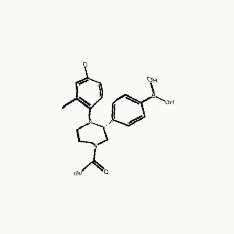 Cc1cc(Cl)ccc1N1CCN(C(=O)C(C)(C)C)C[C@H]1c1ccc(B(O)O)cc1